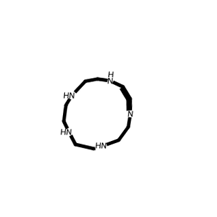 C1=CNCCNCCNCCNCCN=1